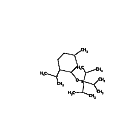 C[C](C)C1CCC(C)CC1O[Si](C(C)C)(C(C)C)C(C)C